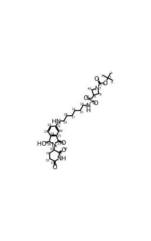 CC(C)(C)OC(=O)N1CC(S(=O)(=O)NCCCCCCNc2ccc3c(c2)C(=O)N(C2CCC(=O)NC2=O)C3O)C1